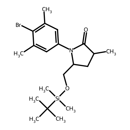 Cc1cc(N2C(=O)C(C)CC2CO[Si](C)(C)C(C)(C)C)cc(C)c1Br